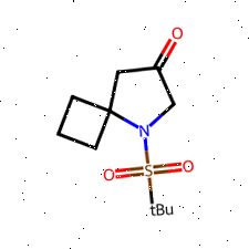 CC(C)(C)S(=O)(=O)N1CC(=O)CC12CCC2